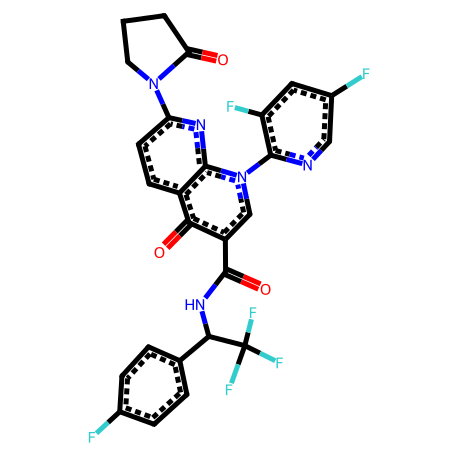 O=C(NC(c1ccc(F)cc1)C(F)(F)F)c1cn(-c2ncc(F)cc2F)c2nc(N3CCCC3=O)ccc2c1=O